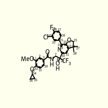 COc1cc(C(=O)NCC(O)(c2cc3c(c(-c4ccc(F)c(Cl)c4)n2)OCC3(C)C)C(F)(F)F)ccc1OC1CC1